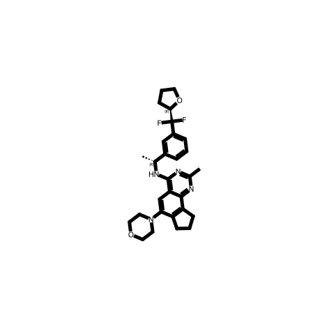 Cc1nc(N[C@H](C)c2cccc(C(F)(F)[C@H]3CCCO3)c2)c2cc(N3CCOCC3)c3c(c2n1)CCC3